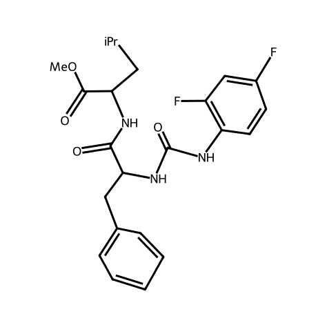 COC(=O)C(CC(C)C)NC(=O)C(Cc1ccccc1)NC(=O)Nc1ccc(F)cc1F